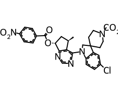 C[C@@H]1C[C@@H](OC(=O)c2ccc([N+](=O)[O-])cc2)c2ncnc(N3CC4(CCN(C(=O)O)CC4)c4cc(Cl)ccc43)c21